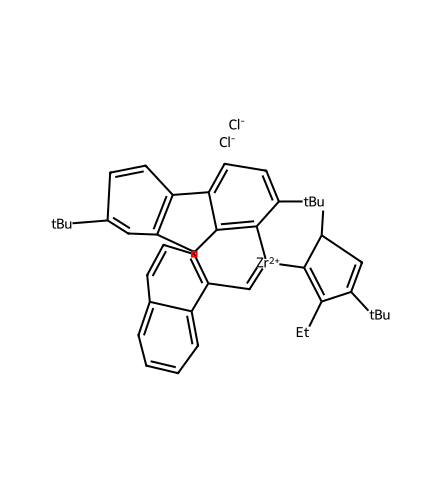 CCC1=[C](/[Zr+2](=[CH]/c2cccc3ccccc23)[c]2c(C(C)(C)C)ccc3c2Cc2cc(C(C)(C)C)ccc2-3)C(C)C=C1C(C)(C)C.[Cl-].[Cl-]